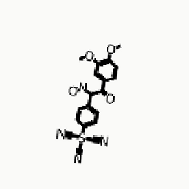 COc1ccc(C(=O)C(N=O)c2ccc(S(C#N)(C#N)C#N)cc2)cc1OC